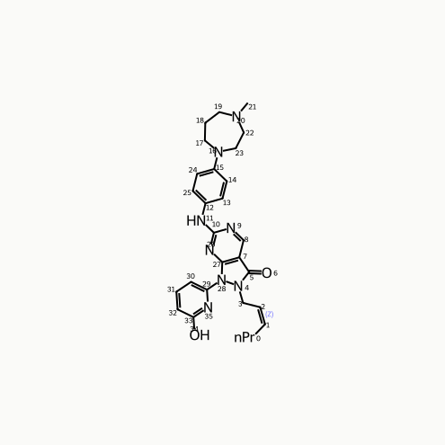 CCC/C=C\Cn1c(=O)c2cnc(Nc3ccc(N4CCCN(C)CC4)cc3)nc2n1-c1cccc(O)n1